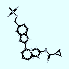 CS(=O)(=O)NCc1ccc2sc(-c3cccc4nc(NC(=O)C5CC5)nn34)cc2c1